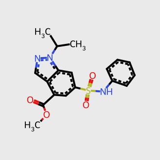 COC(=O)c1cc(S(=O)(=O)Nc2ccccc2)cc2c1cnn2C(C)C